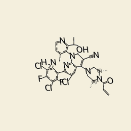 C=CC(=O)N1[C@H](C)CN(C2=C(C#N)C(O)N(c3c(C)ccnc3C(C)C)c3nc(-c4c(N)c(Cl)c(F)c(Cl)c4F)c(Cl)cc32)C[C@@H]1C